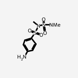 CNS(=O)(=O)N(C)S(=O)(=O)c1ccc(N)cc1